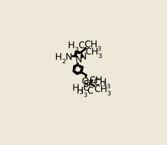 CC(C)(C)c1cc(N)n(-c2cccc(CO[Si](C)(C)C(C)(C)C)c2)n1